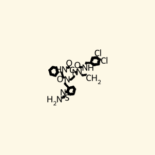 C=CCN(C(=O)NCc1ccc(Cl)c(Cl)c1)N1CCN(Cc2cccc3sc(N)nc23)C(=O)[C@H](c2ccccc2)NC(=O)C1